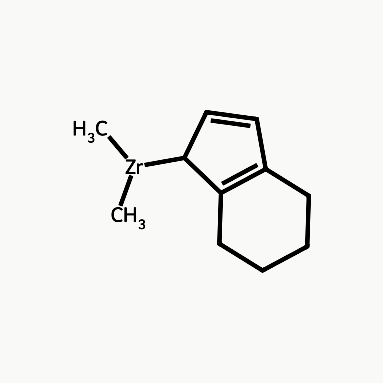 [CH3][Zr]([CH3])[CH]1C=CC2=C1CCCC2